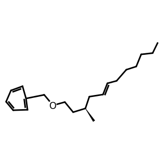 CCCCCC/C=C/C[C@@H](C)CCOCc1ccccc1